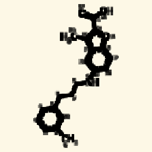 Cc1cccc(CCCNc2ccc3oc(C(=O)O)c(C)c3c2)c1